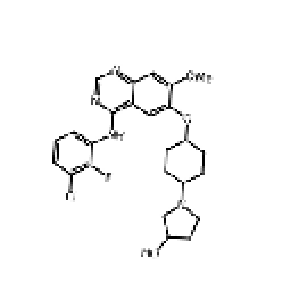 COc1cc2ncnc(Nc3cccc(Cl)c3F)c2cc1OC1CCC(N2CCC(O)C2)CC1